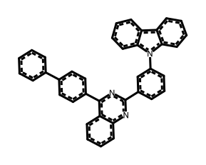 c1ccc(-c2ccc(-c3nc(-c4cccc(-n5c6ccccc6c6ccccc65)c4)nc4ccccc34)cc2)cc1